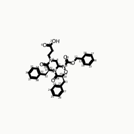 O=C(O)CCN1CC2N(C(=O)OCc3ccccc3)O[C@@H](Cc3ccccc3)C(=O)N2[C@@H](Cc2ccccc2)C1=O